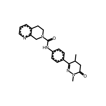 CC1CC(=O)N(C)N=C1c1ccc(NC(=O)N2CCc3cccnc3C2)cc1